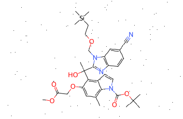 COC(=O)COc1cc(C)c2c(ccn2C(=O)OC(C)(C)C)c1C(C)(O)c1nc2ccc(C#N)cc2n1COCC[Si](C)(C)C